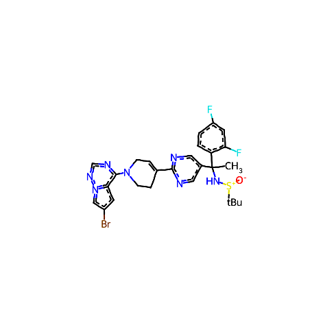 CC(N[S+]([O-])C(C)(C)C)(c1cnc(C2=CCN(c3ncnn4cc(Br)cc34)CC2)nc1)c1ccc(F)cc1F